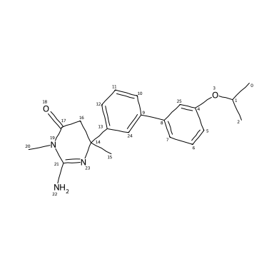 CC(C)Oc1cccc(-c2cccc(C3(C)CC(=O)N(C)C(N)=N3)c2)c1